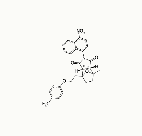 CC12CCC(CCOc3ccc(C(F)(F)F)cc3)(O1)[C@@H]1C(=O)N(c3ccc([N+](=O)[O-])c4ccccc34)C(=O)[C@@H]12